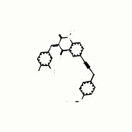 COc1ccc(CC#Cc2ccc3c(c2)C(=O)/C(=C\c2ccc(Cl)c(Cl)c2)C(=O)N3C)cc1